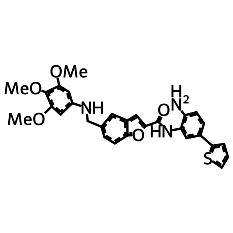 COc1cc(NCc2ccc3oc(C(=O)Nc4cc(-c5cccs5)ccc4N)cc3c2)cc(OC)c1OC